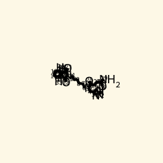 Cn1cc(CN(CCCCCCN2C(=O)C3[C@@H]4C=C[C@@H](C4)[C@H]3C2=O)C(=O)CCC(N)=O)nn1